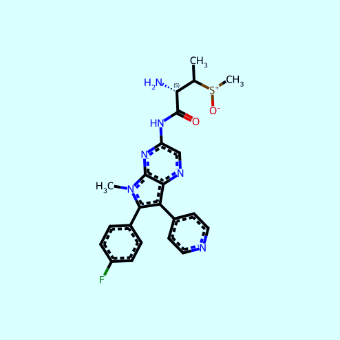 CC([C@@H](N)C(=O)Nc1cnc2c(-c3ccncc3)c(-c3ccc(F)cc3)n(C)c2n1)[S+](C)[O-]